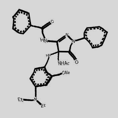 CCN(CC)c1ccc(NC2(NC(C)=O)C(=O)N(c3ccccc3)N=C2NC(=O)c2ccccc2)c(OC)c1